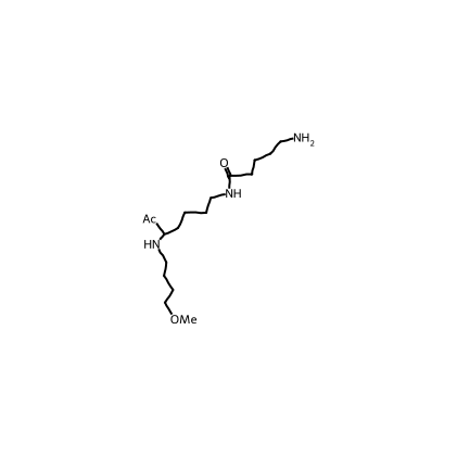 COCCCCNC(CCCCNC(=O)CCCCN)C(C)=O